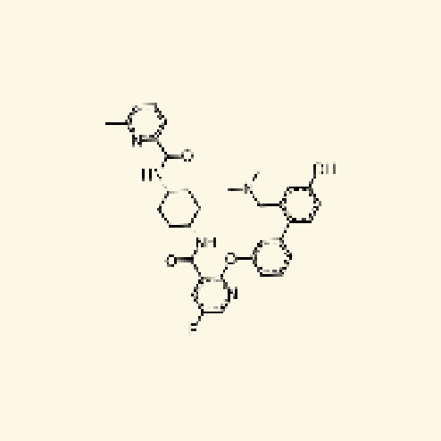 Cc1cccc(C(=O)N[C@H]2CC[C@@H](NC(=O)c3cc(F)cnc3Oc3cccc(-c4ccc(O)cc4CN(C)C)c3)CC2)n1